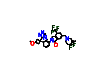 CO[C@H]1C[C@](c2cccc(N3Cc4c(cc(CN5CCC(F)(F)[C@H](C)C5)cc4C(F)(F)F)C3=O)c2)(c2nncn2C)C1